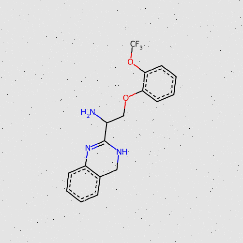 NC(COc1ccccc1OC(F)(F)F)C1=Nc2ccccc2CN1